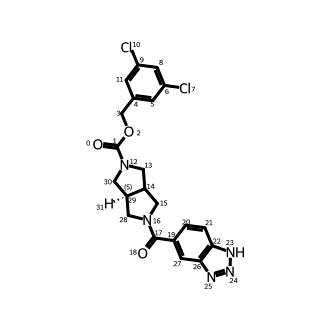 O=C(OCc1cc(Cl)cc(Cl)c1)N1CC2CN(C(=O)c3ccc4[nH]nnc4c3)C[C@H]2C1